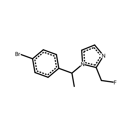 CC(c1ccc(Br)cc1)n1ccnc1CF